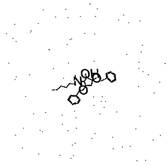 CCCCCCN(C)C1C(OCc2ccccc2)CC(OCc2ccccc2)C1O